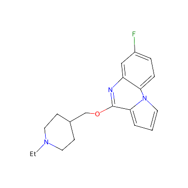 CCN1CCC(COc2nc3cc(F)ccc3n3cccc23)CC1